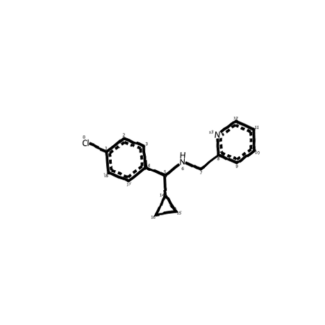 Clc1ccc(C(NCc2ccccn2)C2CC2)cc1